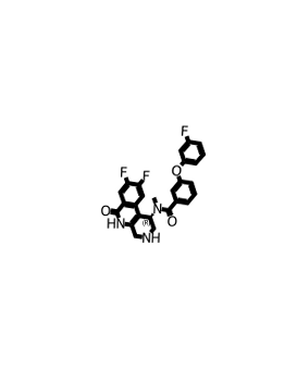 CN(C(=O)c1cccc(Oc2cccc(F)c2)c1)[C@H]1CNCc2[nH]c(=O)c3cc(F)c(F)cc3c21